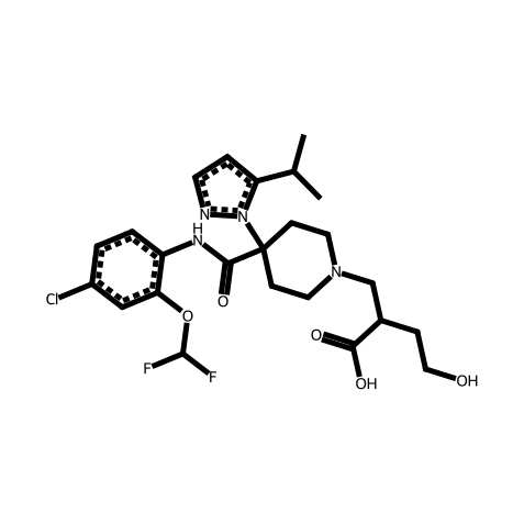 CC(C)c1ccnn1C1(C(=O)Nc2ccc(Cl)cc2OC(F)F)CCN(CC(CCO)C(=O)O)CC1